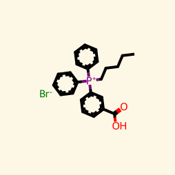 CCCCC[P+](c1ccccc1)(c1ccccc1)c1cccc(C(=O)O)c1.[Br-]